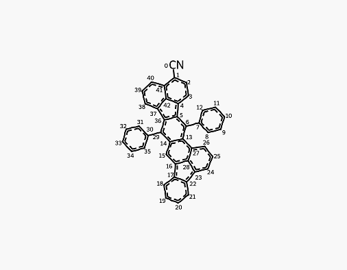 N#Cc1ccc2c3c(-c4ccccc4)c4c(cc5c6ccccc6c6cccc4c65)c(-c4ccccc4)c3c3cccc1c32